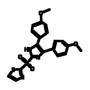 COc1ccc(-c2nc(S(=O)(=O)c3nccs3)[nH]c2-c2ccc(OC)cc2)cc1